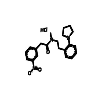 CN(CCc1ccccc1N1CCCC1)C(=O)Cc1cccc([N+](=O)[O-])c1.Cl